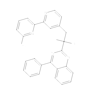 CC(C)(C)c1cccc(-c2cc(CC(C)(C)c3nc(-c4ccccc4)c4ccccc4n3)ccn2)n1